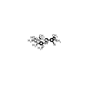 C=CC(=O)Nc1cc(Nc2nccc(-c3cc(C#N)c4c(c3)c(C)cn4C)n2)c(OC)cc1N(C)CCN(C)C(=O)O